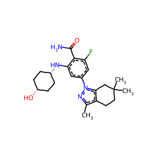 Cc1nn(-c2cc(F)c(C(N)=O)c(N[C@H]3CC[C@@H](O)CC3)c2)c2c1CCC(C)(C)C2